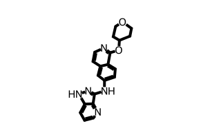 c1cnc2c(Nc3ccc4c(OC5CCOCC5)nccc4c3)n[nH]c2c1